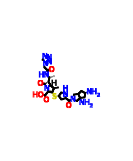 C[C@@H](NC(=O)Cn1cnnn1)[C@H]1C(=O)N2C(C(=O)O)=C(S[C@@H]3CNC(C(=O)N4CC5C[C@H](N)CC5(N)C4)C3)[C@H](C)[C@H]12